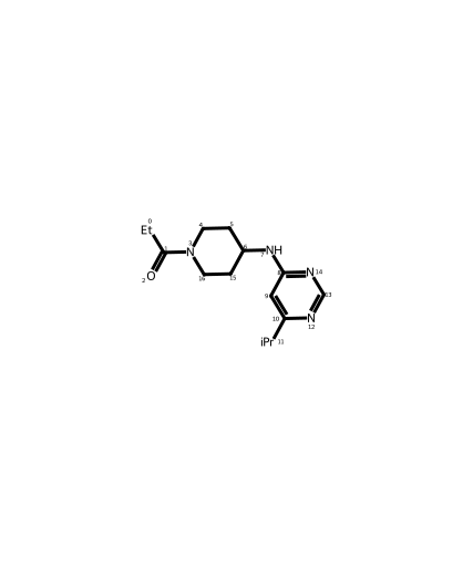 CCC(=O)N1CCC(Nc2cc(C(C)C)ncn2)CC1